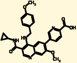 COc1ccc(CNc2c(C(=O)NC3CC3)cnc3cc(OC)c(-c4ccc(C(=O)O)nc4)cc23)cc1